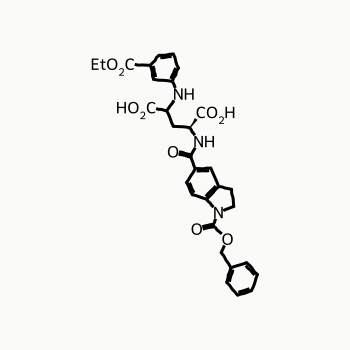 CCOC(=O)c1cccc(NC(C[C@H](NC(=O)c2ccc3c(c2)CCN3C(=O)OCc2ccccc2)C(=O)O)C(=O)O)c1